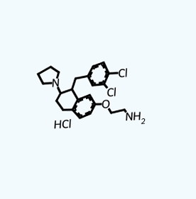 Cl.NCCOc1ccc2c(c1)C(Cc1ccc(Cl)c(Cl)c1)C(N1CCCC1)CC2